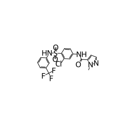 Cn1nccc1C(=O)Nc1ccc(S(=O)(=O)Nc2cccc(C(F)(F)F)c2)c(Cl)c1